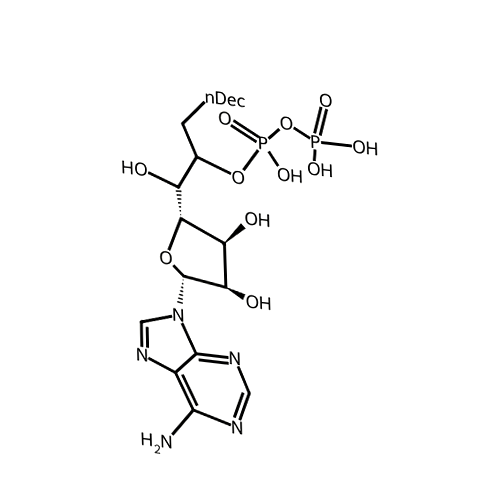 CCCCCCCCCCCC(OP(=O)(O)OP(=O)(O)O)C(O)[C@H]1O[C@@H](n2cnc3c(N)ncnc32)[C@H](O)[C@@H]1O